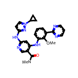 CNC(=O)c1cnc(Nc2ccn(C3CC3)n2)cc1Nc1cccc(-c2ncccn2)c1OC